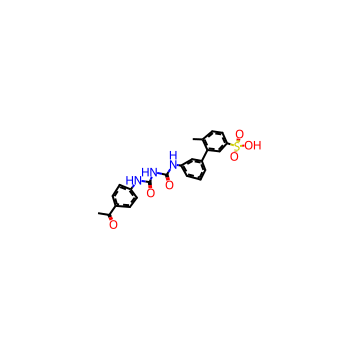 CC(=O)c1ccc(NC(=O)NC(=O)Nc2cccc(-c3cc(S(=O)(=O)O)ccc3C)c2)cc1